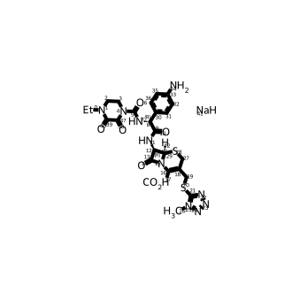 CCN1CCN(C(=O)N[C@@H](C(=O)N[C@@H]2C(=O)N3C(C(=O)O)=C(CSc4nnnn4C)CS[C@H]23)c2ccc(N)cc2)C(=O)C1=O.[NaH]